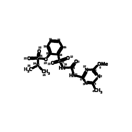 COc1nc(C)nc(NC(=O)NS(=O)(=O)c2ccccc2OS(=O)(=O)N(C)C)n1